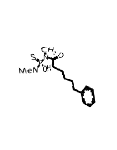 CNP(O)(=S)N(C)C(=O)CCCCCc1ccccc1